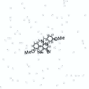 COc1ccc(CN(Cc2ccc(OC)cc2)c2cc(C#N)c(Br)cn2)cc1